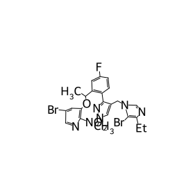 CCc1ncn(Cc2cn(C)nc2-c2ccc(F)cc2C(C)Oc2cc(Br)cnc2[N+](=O)[O-])c1Br